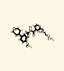 COCC[AsH]Cc1cc(C(=O)Nc2nc3c(OC)ccc(C4CCOCC4)c3s2)ccn1